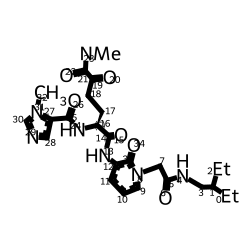 CCC(CC)CNC(=O)Cn1cccc(NC(=O)[C@H](CCC(=O)C(=O)NC)NC(=O)c2cncn2C)c1=O